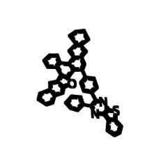 c1ccc(-c2nc3c(nc2-c2ccc(-c4cc5cc6ccccc6cc5c5c6ccccc6c6c7cc8ccccc8cc7oc6c45)cc2)sc2ccccc23)cc1